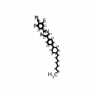 CCCCCCCCC1CCC(c2ccc(-c3cnc(-c4cc(F)c(C#N)c(F)c4)nc3)cc2)CC1